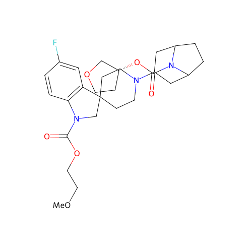 COCCOC(=O)N1CC2(CCN(C3CC4CCC(C3)N4C(=O)O[C@@H]3CCOC3)CC2)c2cc(F)ccc21